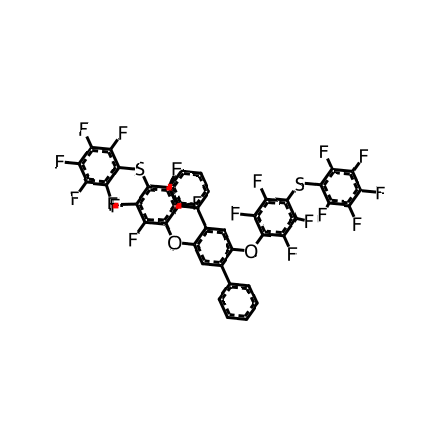 Fc1c(F)c(F)c(Sc2c(F)c(F)c(Oc3cc(-c4ccccc4)c(Oc4c(F)c(F)c(Sc5c(F)c(F)c(F)c(F)c5F)c(F)c4F)cc3-c3ccccc3)c(F)c2F)c(F)c1F